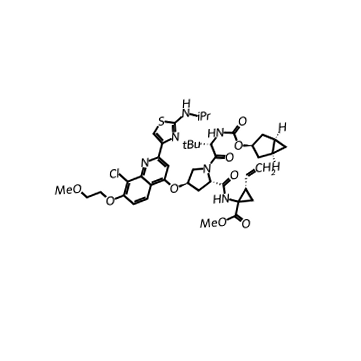 C=C[C@@H]1CC1(NC(=O)[C@@H]1C[C@@H](Oc2cc(-c3csc(NC(C)C)n3)nc3c(Cl)c(OCCOC)ccc23)CN1C(=O)[C@@H](NC(=O)O[C@@H]1C[C@@H]2C[C@@H]2C1)C(C)(C)C)C(=O)OC